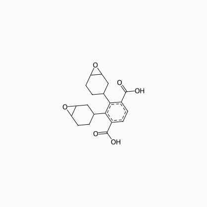 O=C(O)c1ccc(C(=O)O)c(C2CCC3OC3C2)c1C1CCC2OC2C1